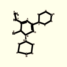 CCC1C(NN)=NC(N2CCOCC2)=N[C@@H]1N1CCOCC1